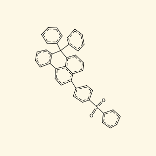 O=S(=O)(c1ccccc1)c1ccc(-c2ccc3c4c(cccc24)C(c2ccccc2)(c2ccccc2)c2ccccc2-3)cc1